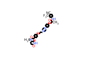 C[C@H](COc1ccc(N2CCN(CCCOc3ccc(CC(=O)N(C)C4CCC(=O)NC4=O)cc3)CC2)cc1)C(=O)Nc1ccc(C#N)c(C(F)(F)F)c1